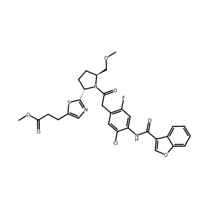 COC[C@@H]1CC[C@@H](c2ncc(CCC(=O)OC)s2)N1C(=O)Cc1cc(Cl)c(NC(=O)c2coc3ccccc23)cc1F